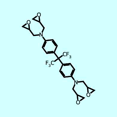 FC(F)(F)C(c1ccc(N(CC2CO2)CC2CO2)cc1)(c1ccc(N(CC2CO2)CC2CO2)cc1)C(F)(F)F